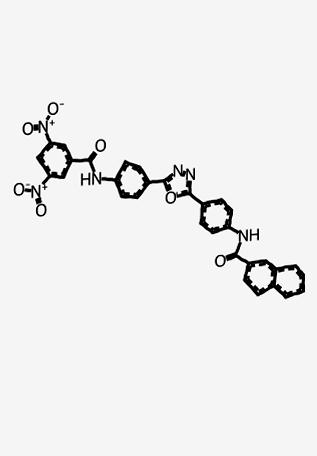 O=C(Nc1ccc(-c2nnc(-c3ccc(NC(=O)c4ccc5ccccc5c4)cc3)o2)cc1)c1cc([N+](=O)[O-])cc([N+](=O)[O-])c1